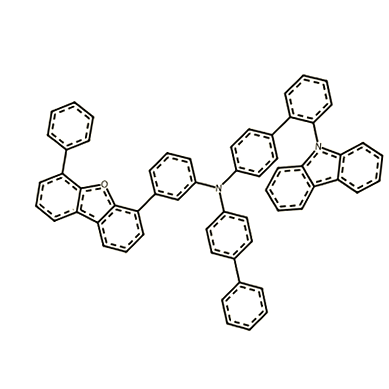 c1ccc(-c2ccc(N(c3ccc(-c4ccccc4-n4c5ccccc5c5ccccc54)cc3)c3cccc(-c4cccc5c4oc4c(-c6ccccc6)cccc45)c3)cc2)cc1